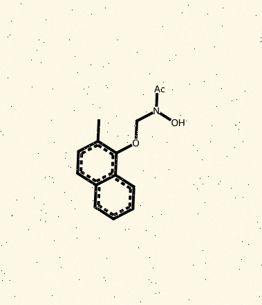 CC(=O)N(O)COc1c(C)ccc2ccccc12